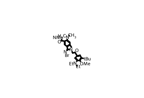 CCN(CC)c1cc(C(=O)CN2Cc3cc(N(C)C)c(C(=O)NC)cc3/C2=N/Br)cc(C(C)(C)C)c1OC